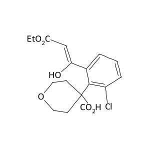 CCOC(=O)C=C(O)c1cccc(Cl)c1C1(C(=O)O)CCOCC1